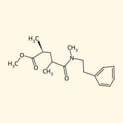 COC(=O)[C@@H](C)CC(C)C(=O)N(C)CCc1ccccc1